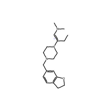 CC/C(=C\N(C)C)N1CCN(Cc2ccc3c(c2)OCC3)CC1